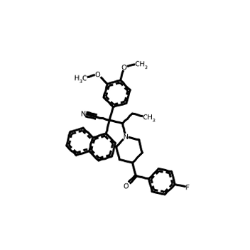 CCC(N1CCC(C(=O)c2ccc(F)cc2)CC1)C(C#N)(c1ccc(OC)c(OC)c1)c1cccc2ccccc12